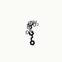 CS(=O)(=O)C(CCn1ccc(C=Cc2ccccc2)cc1=O)C(N)=O